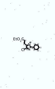 CCOC(=O)C=Cc1c(Cl)nc(-c2ccccc2)n1C